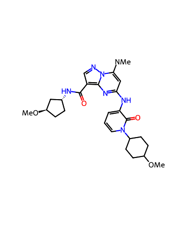 CNc1cc(Nc2cccn(C3CCC(OC)CC3)c2=O)nc2c(C(=O)N[C@@H]3CC[C@@H](OC)C3)cnn12